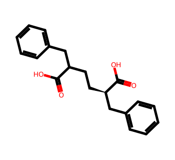 O=C(O)C(CC[C@H](Cc1ccccc1)C(=O)O)Cc1ccccc1